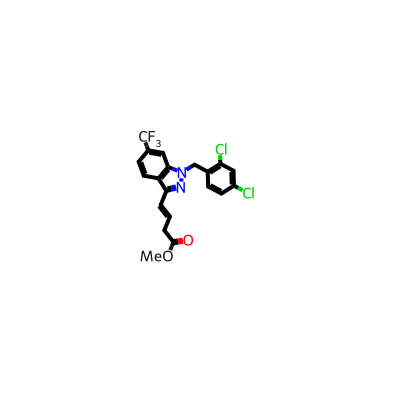 COC(=O)C/C=C/c1nn(Cc2ccc(Cl)cc2Cl)c2cc(C(F)(F)F)ccc12